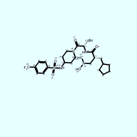 CC(C)(C)[C@H](NC(=O)[C@H](CC1CCCC1)CN(O)C=O)C(=O)N1CCC(NS(=O)(=O)c2ccc(C(F)(F)F)cc2)CC1